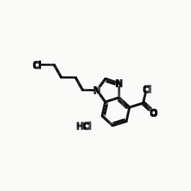 Cl.O=C(Cl)c1cccc2c1ncn2CCCCCl